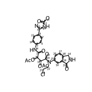 CC(=O)O[C@@H](C(=O)Nc1ccc(-c2noc(=O)[nH]2)cc1)[C@@H](OC(C)=O)C(=O)N(CCCl)c1ccc2c(c1)C(=O)NC2